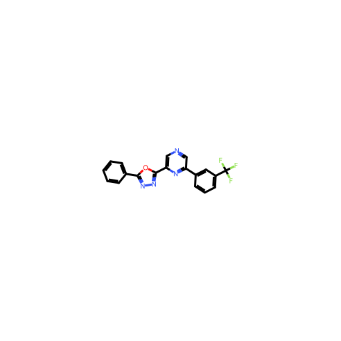 FC(F)(F)c1cccc(-c2cncc(-c3nnc(-c4ccccc4)o3)n2)c1